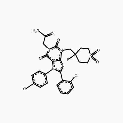 NC(=O)Cn1c(=O)c2c(nc(-c3ccccc3Cl)n2-c2ccc(Cl)cc2)n(CC2(F)CCS(=O)(=O)CC2)c1=O